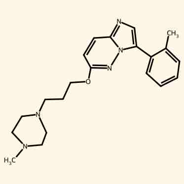 Cc1ccccc1-c1cnc2ccc(OCCCN3CCN(C)CC3)nn12